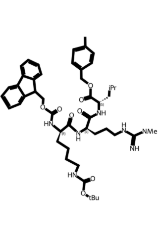 CNC(=N)NCCC[C@@H](NC(=O)[C@@H](CCCCNC(=O)OC(C)(C)C)NC(=O)OCC1c2ccccc2-c2ccccc21)C(=O)N[C@@H](CC(C)C)C(=O)OCc1ccc(C)cc1